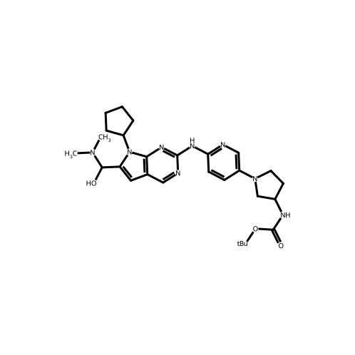 CN(C)C(O)c1cc2cnc(Nc3ccc(N4CCC(NC(=O)OC(C)(C)C)C4)cn3)nc2n1C1CCCC1